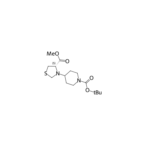 COC(=O)[C@H]1CSCN1C1CCN(C(=O)OC(C)(C)C)CC1